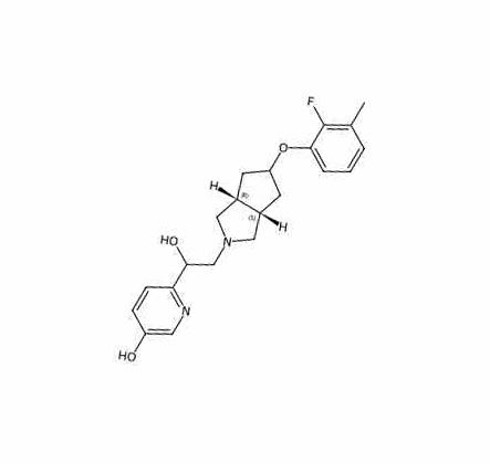 Cc1cccc(OC2C[C@@H]3CN(CC(O)c4ccc(O)cn4)C[C@@H]3C2)c1F